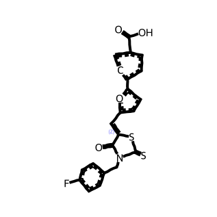 O=C(O)c1ccc(-c2ccc(/C=C3\SC(=S)N(Cc4ccc(F)cc4)C3=O)o2)cc1